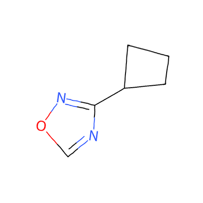 c1nc(C2CCC2)no1